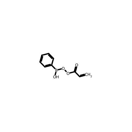 C=CC(=O)OOB(O)c1ccccc1